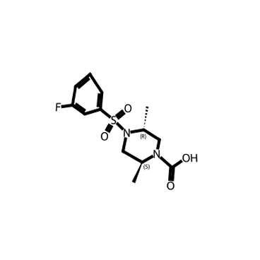 C[C@@H]1CN(C(=O)O)[C@@H](C)CN1S(=O)(=O)c1cccc(F)c1